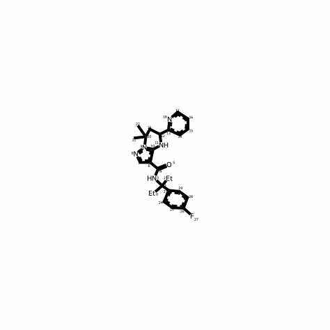 CCC(CC)(NC(=O)c1cnn2c1NC(c1ccccn1)CC2(C)C)c1ccc(F)cc1